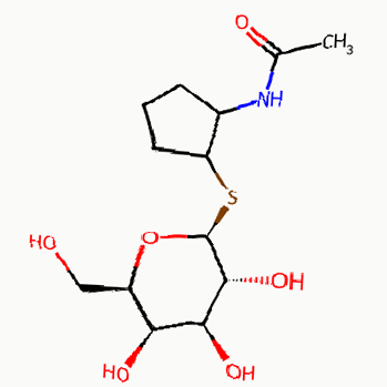 CC(=O)NC1CCCC1S[C@@H]1O[C@H](CO)[C@H](O)[C@H](O)[C@H]1O